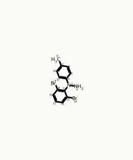 Cc1ccc(N(N)c2c(Br)cccc2Br)cc1